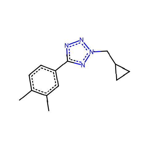 Cc1ccc(-c2nnn(CC3CC3)n2)cc1C